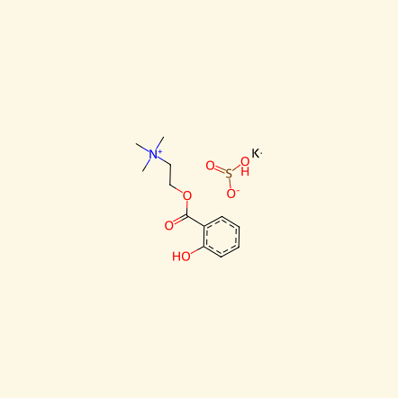 C[N+](C)(C)CCOC(=O)c1ccccc1O.O=S([O-])O.[K]